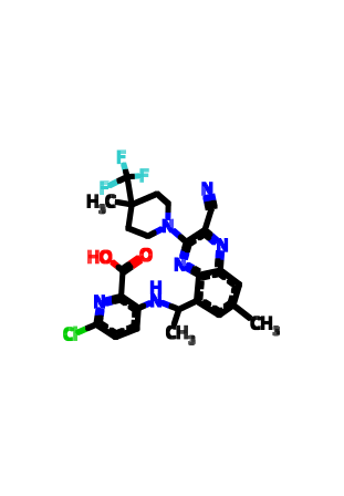 Cc1cc(C(C)Nc2ccc(Cl)nc2C(=O)O)c2nc(N3CCC(C)(C(F)(F)F)CC3)c(C#N)nc2c1